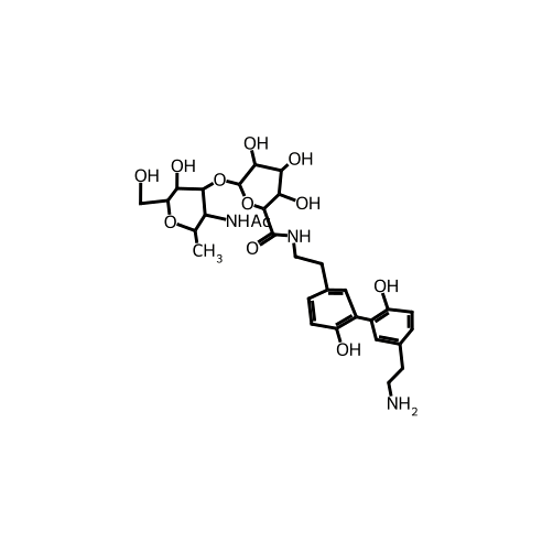 CC(=O)NC1C(C)OC(CO)C(O)C1OC1OC(C(=O)NCCc2ccc(O)c(-c3cc(CCN)ccc3O)c2)C(O)C(O)C1O